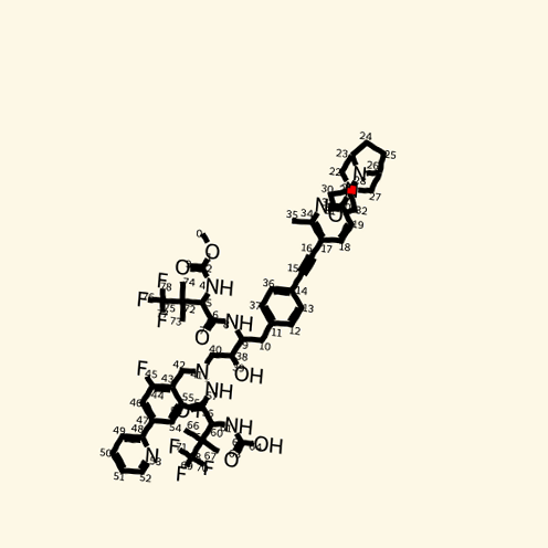 COC(=O)NC(C(=O)NC(Cc1ccc(C#Cc2ccc(N3CC4CCC(C3)N4C3COC3)nc2C)cc1)C(O)CN(Cc1c(F)cc(-c2ccccn2)cc1F)NC(=O)C(NC(=O)O)C(C)(C)C(F)(F)F)C(C)(C)C(F)(F)F